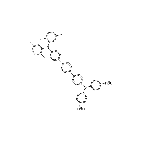 CCCCc1ccc(N(c2ccc(CCCC)cc2)c2ccc(-c3ccc(-c4ccc(N(c5cc(C)ccc5C)c5cc(C)ccc5C)cc4)cc3)cc2)cc1